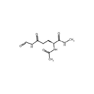 CNC(=O)[C@H](CCC(=O)NC=O)NC(C)=O